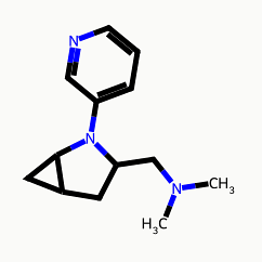 CN(C)CC1CC2CC2N1c1cccnc1